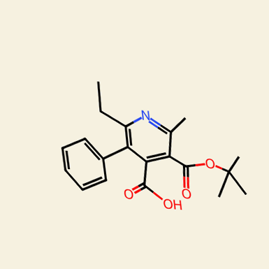 CCc1nc(C)c(C(=O)OC(C)(C)C)c(C(=O)O)c1-c1ccccc1